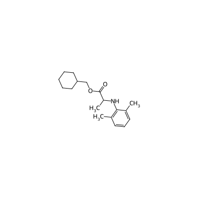 Cc1cccc(C)c1NC(C)C(=O)OCC1CCCCC1